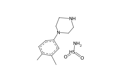 Cc1ccc(N2CCNCC2)cc1C.N[SH](=O)=O